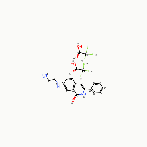 NCCNc1ccc2cc(-c3ccccc3)[nH]c(=O)c2c1.O=C(O)C(F)(F)F.O=C(O)C(F)(F)F